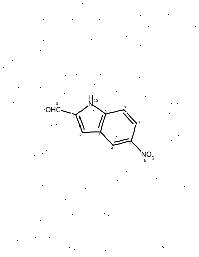 O=[C]c1cc2cc([N+](=O)[O-])ccc2[nH]1